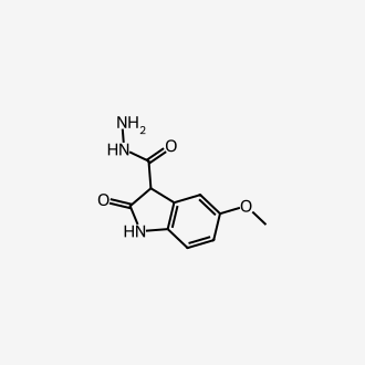 COc1ccc2c(c1)C(C(=O)NN)C(=O)N2